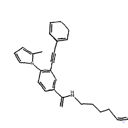 C=C(NCCCC/C=C\C)c1ccc(-n2cccc2C)c(C#CC2=CCCC=C2)c1